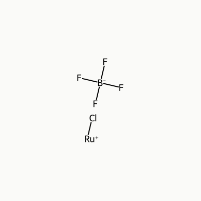 F[B-](F)(F)F.[Cl][Ru+]